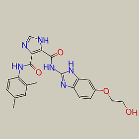 Cc1ccc(NC(=O)c2nc[nH]c2C(=O)Nc2nc3ccc(OCCO)cc3[nH]2)c(C)c1